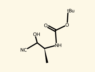 C[C@H](NC(=O)OC(C)(C)C)C(O)C#N